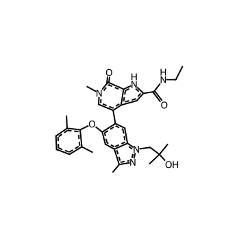 CCNC(=O)c1cc2c(-c3cc4c(cc3Oc3c(C)cccc3C)c(C)nn4CC(C)(C)O)cn(C)c(=O)c2[nH]1